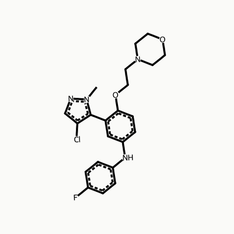 Cn1ncc(Cl)c1-c1cc(Nc2ccc(F)cc2)ccc1OCCN1CCOCC1